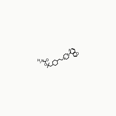 CC(C)(CC1CCC(CCN2CCN(c3nccc4occc34)CC2)CC1)OC(N)=O